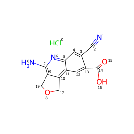 Cl.N#Cc1cc2nc(N)c3c(c2cc1C(=O)O)COC3